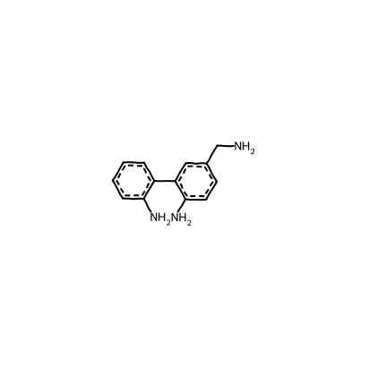 NCc1ccc(N)c(-c2ccccc2N)c1